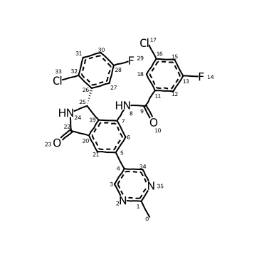 Cc1ncc(-c2cc(NC(=O)c3cc(F)cc(Cl)c3)c3c(c2)C(=O)N[C@@H]3c2cc(F)ccc2Cl)cn1